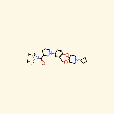 CN(C)C(=O)C1CCCN(c2ccc3c(c2)COC2(CCN(C4CCC4)CC2)O3)C1